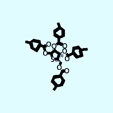 Cc1ccc(C(=O)OC[C@@H]2SC(OC(=O)c3ccc(C)cc3)[C@@H](OC(=O)c3ccc(C)cc3)[C@@H]2OC(=O)c2ccc(C)cc2)cc1